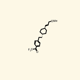 COCC=C[C@H]1CC[C@H](CCc2ccc(C(=O)C(F)(F)F)cc2)CC1